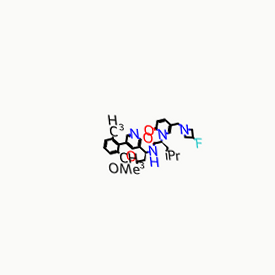 COC(=O)C[C@H](NC(=O)[C@H](CC(C)C)n1cc(CN2CC(F)C2)ccc1=O)c1cncc(-c2c(C)cccc2C)c1